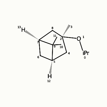 CC(C)O[C@@]1(C)C[C@H]2C[C@@H](C1)C2(C)C